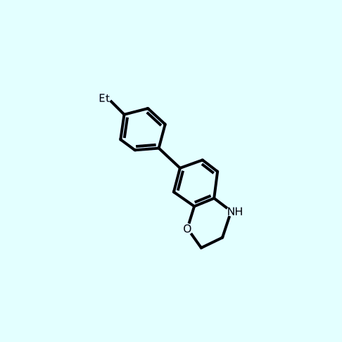 CCc1ccc(-c2ccc3c(c2)OCCN3)cc1